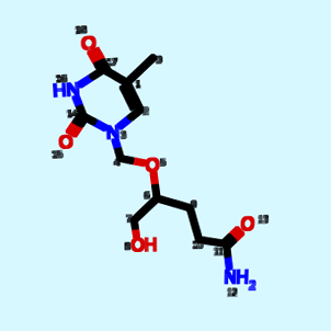 Cc1cn(COC(CO)CCC(N)=O)c(=O)[nH]c1=O